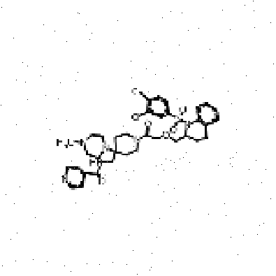 CN1CCN(C2(CNC(=O)c3ccncc3)CCN(C(=O)COCC3CCc4ccccc4N3S(=O)(=O)c3ccc(Cl)c(Cl)c3)CC2)CC1